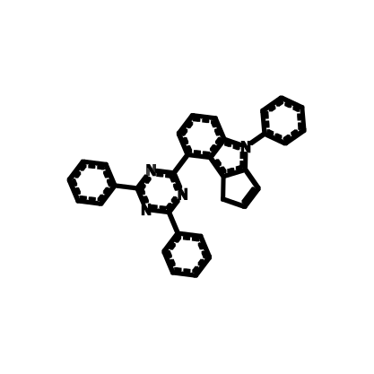 C1=Cc2c(c3c(-c4nc(-c5ccccc5)nc(-c5ccccc5)n4)cccc3n2-c2ccccc2)C1